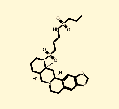 CCCS(=O)(=O)NCCCS(=O)(=O)N1CCC[C@@H]2CN3CCc4cc5c(cc4[C@@H]3C[C@@H]21)OCO5